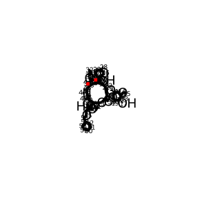 CC[C@H]1OC(=O)[C@H](C)[C@@H](O[C@H]2C[C@@](C)(OC)[C@@H](O)[C@H](C)O2)[C@H](C)[C@@H](O[C@@H]2O[C@H](C)C[C@H](N(C)C)[C@H]2OC(C)=O)[C@@](C)(O)C[C@@H](C)CN(C)[C@H](C)[C@@H](OC(=O)COCc2ccccc2)[C@]1(C)O